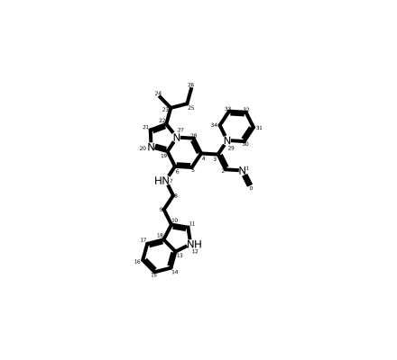 C=N/C=C(/c1cc(NCCc2c[nH]c3ccccc23)c2ncc(C(C)CC)n2c1)N1C=CC=CC1